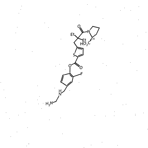 CCC(CC)(Cc1ccc(C(=O)Oc2ccc(CNCN)cc2F)s1)C(=O)N1CCC[C@H]1C(=O)O